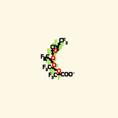 O=C([O-])C(F)(OC(F)(F)C(F)(OC(F)(F)C(F)(OC(F)(F)C(F)(OC(F)(F)C(F)(F)C(F)(F)F)C(F)(F)F)C(F)(F)F)C(F)(F)F)C(F)(F)F.[K+]